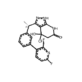 C[C@@H](c1cccc(-c2ccc(F)nc2F)c1)c1n[nH]c2c1C(O)(C(F)(F)F)CC(=O)N2